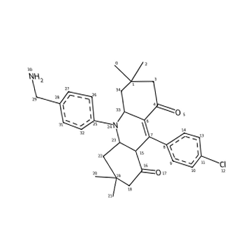 CC1(C)CC(=O)C2=C(c3ccc(Cl)cc3)C3C(=O)CC(C)(C)CC3N(c3ccc(CN)cc3)C2C1